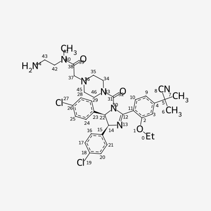 CCOc1cc(C(C)(C)C#N)ccc1C1=N[C@@H](c2ccc(Cl)cc2)[C@@H](c2ccc(Cl)cc2)N1C(=O)N1CCN(CC(=O)N(C)CCN)CC1